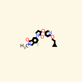 CN1Cc2c(F)cc(N3CC[C@@H](Oc4ccc(OCCC5CC5)nc4)C3=O)cc2C1=O